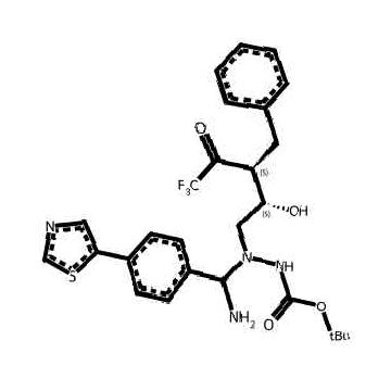 CC(C)(C)OC(=O)NN(C[C@@H](O)[C@H](Cc1ccccc1)C(=O)C(F)(F)F)C(N)c1ccc(-c2cncs2)cc1